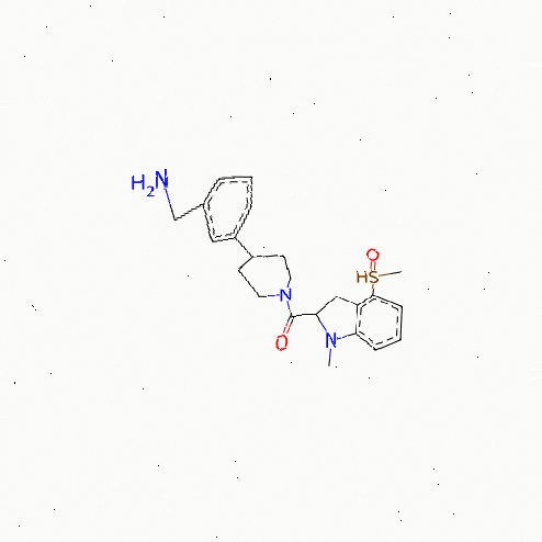 CN1c2cccc([SH](C)(C)=O)c2CC1C(=O)N1CCC(c2cccc(CN)c2)CC1